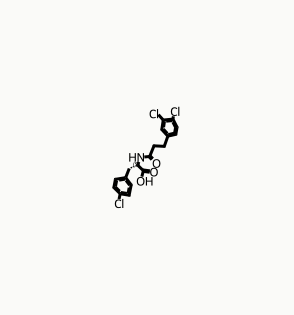 O=C(CCc1ccc(Cl)c(Cl)c1)N[C@@H](Cc1ccc(Cl)cc1)C(=O)O